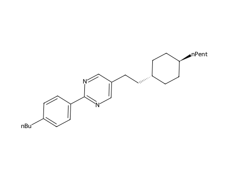 CCCCC[C@H]1CC[C@H](CCc2cnc(-c3ccc(CCCC)cc3)nc2)CC1